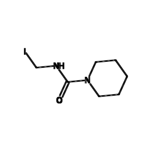 O=C(NCI)N1CCCCC1